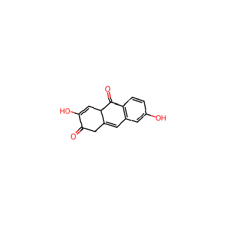 O=C1CC2=Cc3cc(O)ccc3C(=O)C2C=C1O